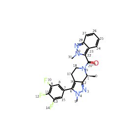 C[C@H]1c2nn(C)c(-c3cc(F)c(F)c(F)c3)c2CCN1C(=O)c1c2ccccc2nn1C